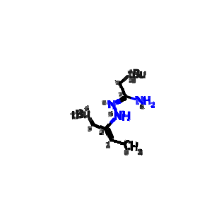 C/C=C(/CC(C)(C)C)N/N=C(\N)CC(C)(C)C